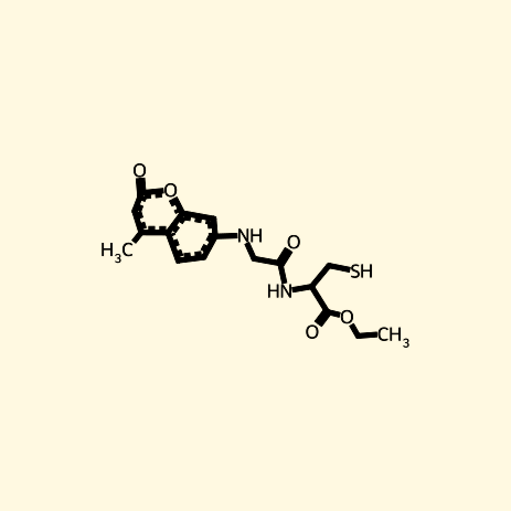 CCOC(=O)C(CS)NC(=O)CNc1ccc2c(C)cc(=O)oc2c1